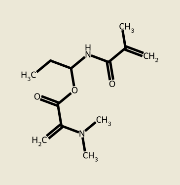 C=C(C)C(=O)NC(CC)OC(=O)C(=C)N(C)C